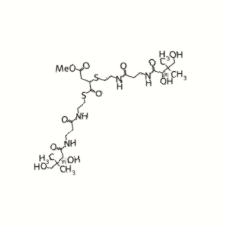 COC(=O)CC(SCCNC(=O)CCNC(=O)[C@H](O)C(C)(C)CO)C(=O)SCCNC(=O)CCNC(=O)[C@H](O)C(C)(C)CO